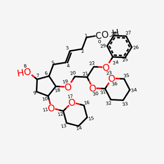 O=C(O)CCC=CCC1C(O)CC(OC2CCCCO2)C1OCC(COc1ccccc1)OC1CCCCO1